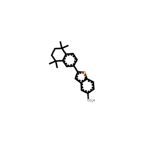 CC1(C)CCC(C)(C)c2cc(-c3cc4cc(C(=O)O)ccc4s3)ccc21